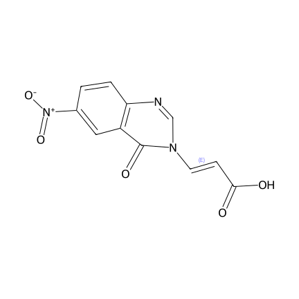 O=C(O)/C=C/n1cnc2ccc([N+](=O)[O-])cc2c1=O